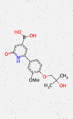 COc1cc(-c2cc(B(O)O)cc(=O)[nH]2)ccc1OCC(C)(C)O